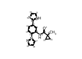 CC1(C(=O)Nc2cc(-c3ncc[nH]3)ccc2-n2cccn2)CC1